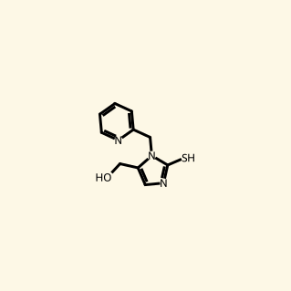 OCc1cnc(S)n1Cc1ccccn1